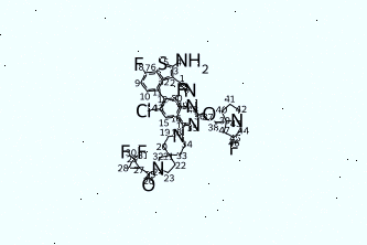 N#Cc1c(N)sc2c(F)ccc(-c3c(Cl)cc4c(N5CCC6(CCN(C(=O)C7CC7(F)F)C6)CC5)nc(OC[C@@]56CCCN5C[C@H](F)C6)nc4c3F)c12